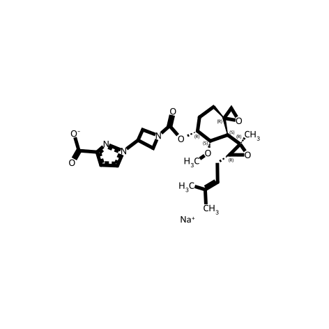 CO[C@@H]1[C@H](OC(=O)N2CC(n3ccc(C(=O)[O-])n3)C2)CC[C@]2(CO2)[C@H]1[C@@]1(C)O[C@@H]1CC=C(C)C.[Na+]